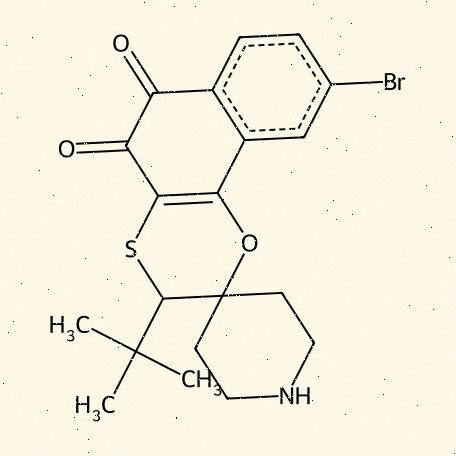 CC(C)(C)C1SC2=C(OC13CCNCC3)c1cc(Br)ccc1C(=O)C2=O